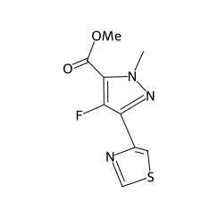 COC(=O)c1c(F)c(-c2cscn2)nn1C